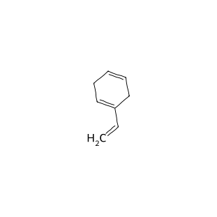 C=CC1=CCC=CC1